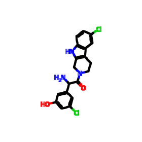 NC(C(=O)N1CCc2c([nH]c3ccc(Cl)cc23)C1)c1cc(O)cc(Cl)c1